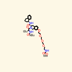 CC[C@@H](C)C(=O)N[C@H](C(=O)N1Cc2cc(OCCOCCOCCOCCNC(=O)OC(C)(C)C)ccc2C[C@H]1C(=O)N[C@@H]1CCCc2ccccc21)C(C)(C)C